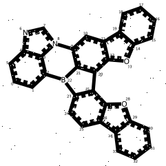 c1cc2c3c(c1)ncn3-c1cc3c(oc4ccccc43)c3c1B2c1ccc2c(oc4ccccc42)c1-3